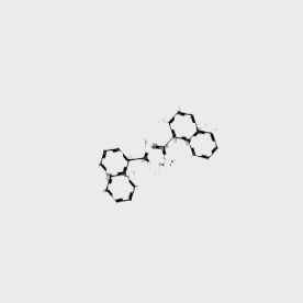 c1ccc2c(-c3noc(-c4cccc5ccccc45)n3)cccc2c1